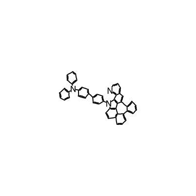 c1ccc(N(c2ccccc2)c2ccc(-c3ccc(-n4c5ccc6cccc7c6c5c5c(cc6cccnc6c54)-c4ccccc4-7)cc3)cc2)cc1